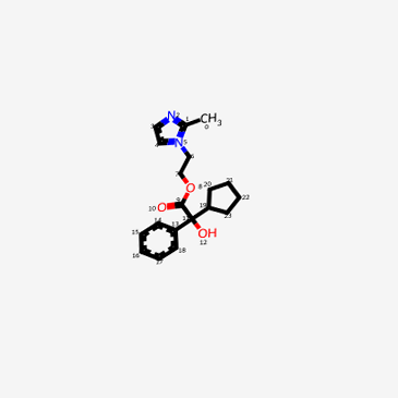 Cc1nccn1CCOC(=O)C(O)(c1ccccc1)C1CCCC1